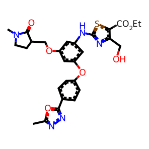 CCOC(=O)c1sc(Nc2cc(OCC3CCN(C)C3=O)cc(Oc3ccc(-c4nnc(C)o4)cc3)c2)nc1CO